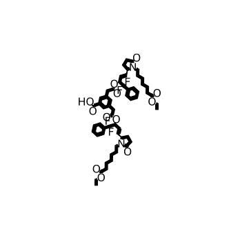 CCOC(=O)CCCCCCN1C(=O)CC[C@@H]1/C=C/[C@@H](OC(=O)Cc1cc(CC(=O)O[C@H](/C=C/[C@H]2CCC(=O)N2CCCCCCC(=O)OCC)C(F)(F)c2ccccc2)cc(C(=O)O)c1)C(F)(F)c1ccccc1